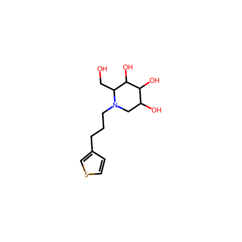 OCC1C(O)C(O)C(O)CN1CCCc1ccsc1